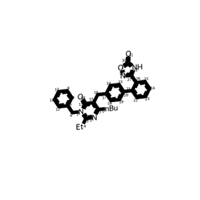 CCCCc1nc(CC)n(Cc2ccccc2)c(=O)c1Cc1ccc(-c2ccccc2-c2noc(=O)[nH]2)cc1